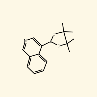 CC1(C)OB(c2cncc3ccccc23)OC1(C)C